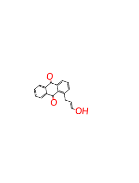 O=C1c2ccccc2C(=O)c2c(CC=CO)cccc21